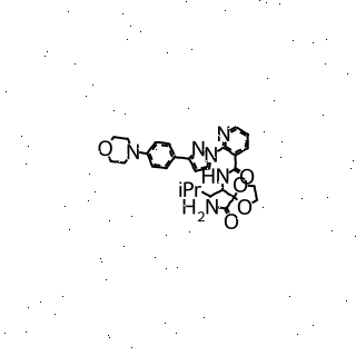 CC(C)CC(NC(=O)c1cccnc1-n1ccc(-c2ccc(N3CCOCC3)cc2)n1)C1(C(N)=O)OCCO1